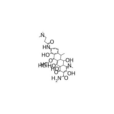 CC1c2ccc(NC(=O)CCN(C)C)c(O)c2C(=O)C2=C(O)C3(O)C(=O)C(C(N)=O)=C(O)[C@@H](N(C)C)C3C(O)C21.Cl.Cl